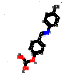 N#Cc1ccc(/N=C/c2ccc(OB(O)O)cc2)cc1